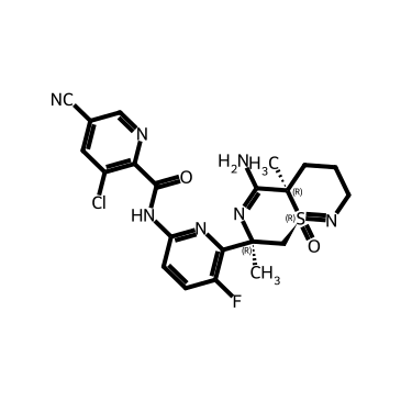 C[C@@]1(c2nc(NC(=O)c3ncc(C#N)cc3Cl)ccc2F)C[S@]2(=O)=NCCC[C@]2(C)C(N)=N1